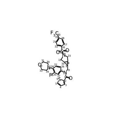 O=C(c1cccs1)N(CC1C2CN(S(=O)(=O)c3ccc(C(F)(F)F)cc3)CC12)c1ccc(N2CCOCC2)c(F)c1